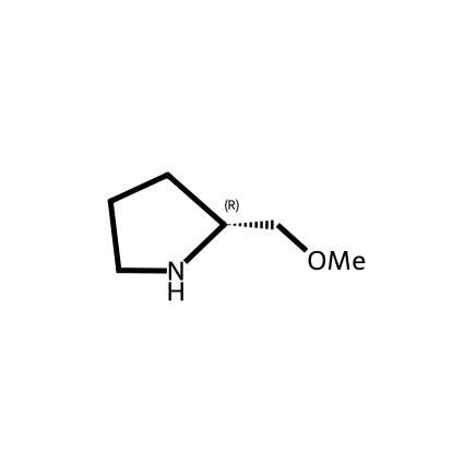 [CH2]OC[C@H]1CCCN1